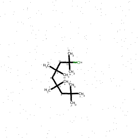 CC(C)(C)CC(C)(C)CC(C)(C)CC(C)(C)Cl